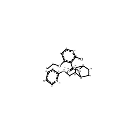 CCOc1ccnc(Cl)c1C(=O)N1C2CCC1C(COc1ccccn1)C2